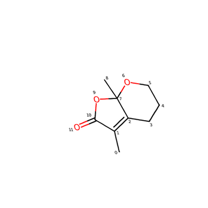 CC1=C2CCCOC2(C)OC1=O